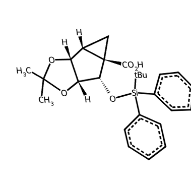 CC1(C)O[C@@H]2[C@H](O1)[C@@H]1C[C@]1(C(=O)O)[C@@H]2O[Si](c1ccccc1)(c1ccccc1)C(C)(C)C